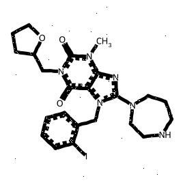 Cn1c(=O)n(CC2CCCO2)c(=O)c2c1nc(N1CCCNCC1)n2Cc1ccccc1I